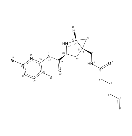 C=CCCCC(=O)NC[C@@]12C[C@@H](C(=O)Nc3nc(Br)ccc3C)N[C@@H]1C2